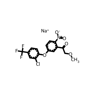 COCC(=O)c1cc(Oc2ccc(C(F)(F)F)cc2Cl)ccc1[N+](=O)[O-].[Na+]